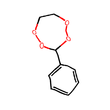 c1ccc(C2OOCCOO2)cc1